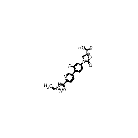 C=Cn1nnc(-c2ccc(-c3ccc(N4C[C@@H](C(O)CC)OC4=O)cc3F)cn2)n1